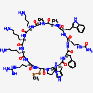 CSSC1NC(=O)[C@H](CCCNC(=N)N)NC(=O)[C@H](CCCCN)NC(=O)[C@H](CCCCN)NC(=O)[C@H](CCCCN)NC(=O)[C@H](C)NC(=O)[C@H](C)NC(=O)[C@H](CCc2c[nH]c3ccccc23)NC(=O)[C@H](CCCNC(N)=O)NC(=O)[C@@H](Cc2ccccc2)NC(=O)[C@H](Cc2c[nH]cn2)N[C@@H]2CCCN2C1=O